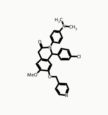 COc1cc2c(cc1OCc1ccncc1)C(c1ccc(Cl)cc1)N(c1ccc(N(C)C)cc1)C(=O)C2